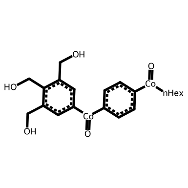 CCCCC[CH2][Co](=[O])[c]1cc[c]([Co](=[O])[c]2cc(CO)c(CO)c(CO)c2)cc1